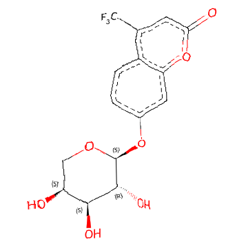 O=c1cc(C(F)(F)F)c2ccc(O[C@@H]3OC[C@H](O)[C@H](O)[C@H]3O)cc2o1